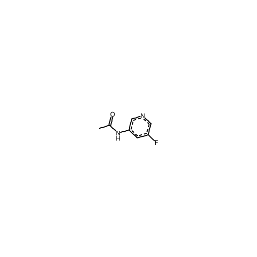 CC(=O)Nc1cncc(F)c1